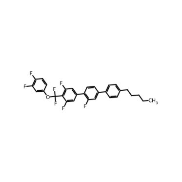 CCCCCc1ccc(-c2ccc(-c3cc(F)c(C(F)(F)Oc4ccc(F)c(F)c4)c(F)c3)c(F)c2)cc1